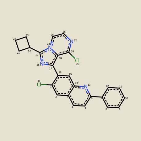 Clc1cc2ccc(-c3ccccc3)nc2cc1-c1nc(C2CCC2)n2ccnc(Cl)c12